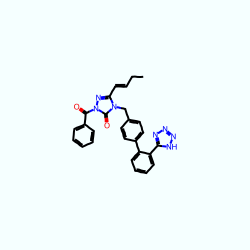 CCC=Cc1nn(C(=O)c2ccccc2)c(=O)n1Cc1ccc(-c2ccccc2-c2nnn[nH]2)cc1